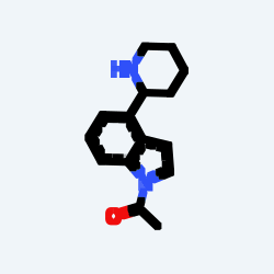 CC(=O)n1ccc2c(C3CCCCN3)cccc21